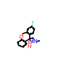 CNCC1(O)c2ccc(F)cc2COc2ccccc21